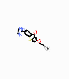 CCCOc1ccc2sc3cc(C4=NCCN4)ccc3c(=O)c2c1